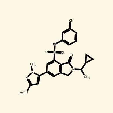 CC(=O)Nc1cc(-c2cc3c(c(S(=O)(=O)Nc4cccc(C#N)c4)c2)C(=O)N(C(C)C2CC2)C3)n(C)n1